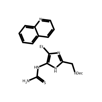 CCCCCCCCCCCc1nc(CC)c(NC(N)=S)[nH]1.c1ccc2ncccc2c1